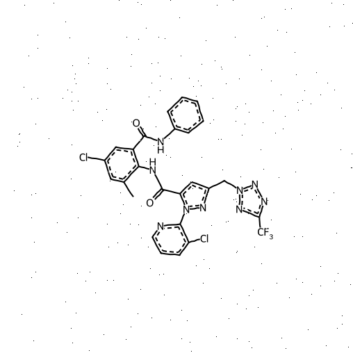 Cc1cc(Cl)cc(C(=O)Nc2ccccc2)c1NC(=O)c1cc(Cn2nnc(C(F)(F)F)n2)nn1-c1ncccc1Cl